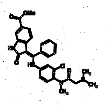 COC(=O)c1ccc2c(c1)NC(=O)/C2=C(\Nc1ccc(N(C)C(=O)CN(C)C)c(Cl)c1)c1ccccc1